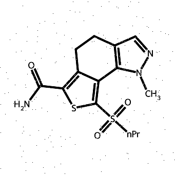 CCCS(=O)(=O)c1sc(C(N)=O)c2c1-c1c(cnn1C)CC2